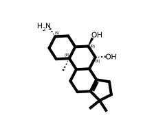 CC1(C)CCC2=C1CCC1C2[C@@H](O)[C@H](O)C2C[C@@H](N)CC[C@]12C